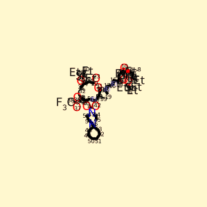 CC[C@H](O[Si](CC)(CC)CC)[C@@H](C)[C@H]1O[C@@H]1C[C@](C)(/C=C/C=C(\C)[C@H]1OC(=O)C[C@H](O[Si](CC)(CC)CC)CC[C@@](C)(OC(=O)C(F)(F)F)[C@@H](OC(=O)N2CCN(C3CCCCCC3)CC2)/C=C/[C@@H]1C)O[Si](CC)(CC)CC